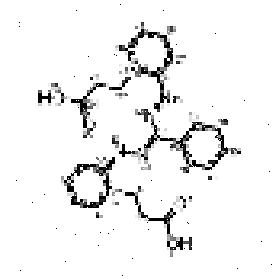 O=C(O)CCn1ccccc1=NN=C(N=Nc1cccc[n+]1CCC(=O)O)c1ccccc1